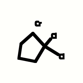 ClC1(Cl)CCCC1.[Cr]